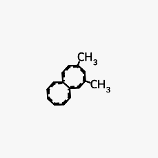 Cc1ccc2ccccccc-2cc(C)c1